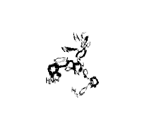 C=CS(=O)(=O)N1CCN(c2nc(OC[C@@H]3CCCN3C)nc3c2CC=C(c2c(C)ccc4[nH]ncc24)O3)C[C@@H]1CC#N